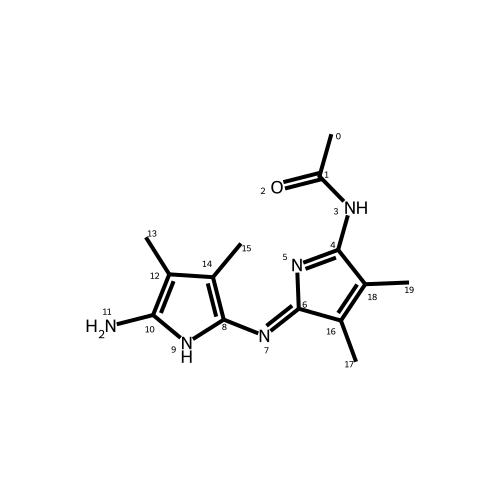 CC(=O)NC1=N/C(=N\c2[nH]c(N)c(C)c2C)C(C)=C1C